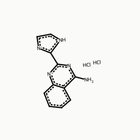 Cl.Cl.Nc1nc(-c2ncc[nH]2)nc2ccccc12